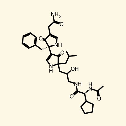 CC(=O)N[C@H](C(=O)NCC(O)CC1(CC(C)C)NC=C([C@]2(Cc3ccccc3)NC=C(CC(N)=O)C2=O)C1=O)C1CCCC1